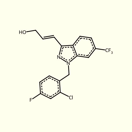 OCC=Cc1nn(Cc2ccc(F)cc2Cl)c2cc(C(F)(F)F)ccc12